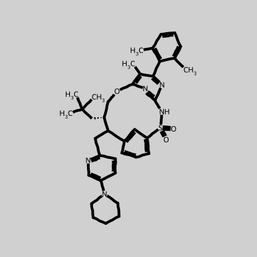 Cc1cccc(C)c1-c1nc2nc(c1C)OC[C@@H](CC(C)(C)C)C(Cc1ccc(N3CCCCC3)cn1)c1cccc(c1)S(=O)(=O)N2